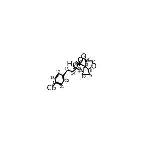 NC(=O)C12C(=O)COC1CCN2C(=O)[CH]Cc1ccc(Cl)cc1